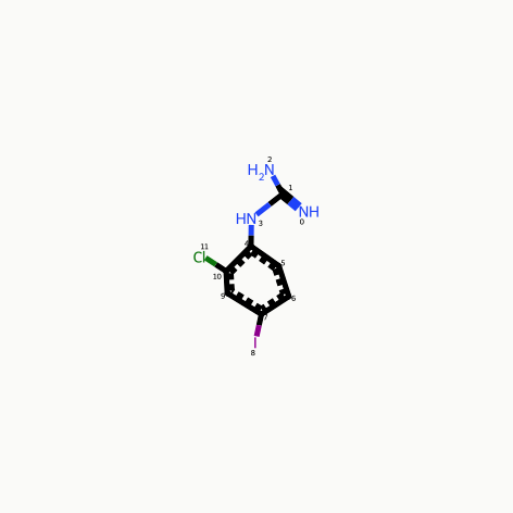 N=C(N)Nc1ccc(I)cc1Cl